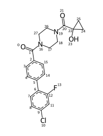 O=C(c1ccc(-c2ccc(Cl)cc2F)cc1)N1CCN(C(=O)C2(O)CC2)CC1